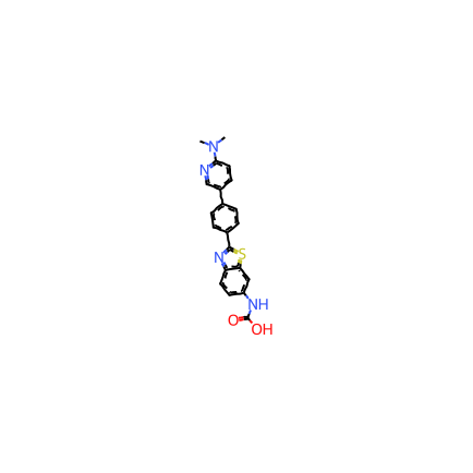 CN(C)c1ccc(-c2ccc(-c3nc4ccc(NC(=O)O)cc4s3)cc2)cn1